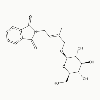 C/C(=C\CN1C(=O)c2ccccc2C1=O)CO[C@@H]1O[C@H](CO)[C@@H](O)[C@H](O)[C@H]1O